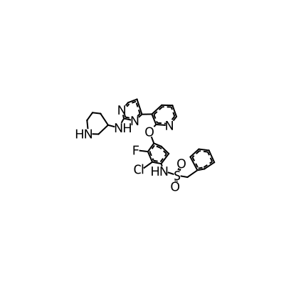 O=S(=O)(Cc1ccccc1)Nc1ccc(Oc2ncccc2-c2ccnc(NC3CCCNC3)n2)c(F)c1Cl